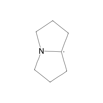 C1C[C]2CCCN2C1